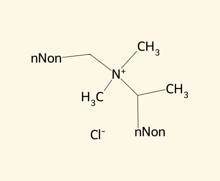 CCCCCCCCCC[N+](C)(C)C(C)CCCCCCCCC.[Cl-]